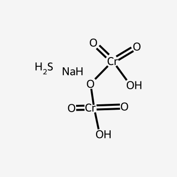 S.[NaH].[O]=[Cr](=[O])([OH])[O][Cr](=[O])(=[O])[OH]